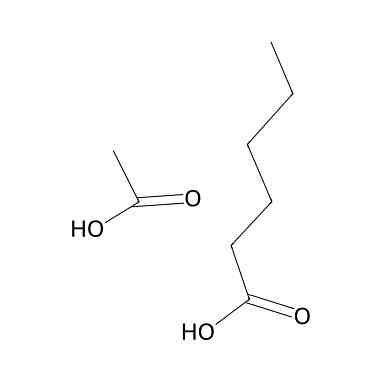 CC(=O)O.CCCCCC(=O)O